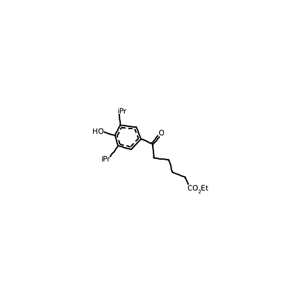 CCOC(=O)CCCCC(=O)c1cc(C(C)C)c(O)c(C(C)C)c1